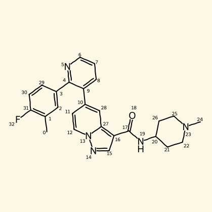 Cc1cc(-c2ncccc2-c2ccn3ncc(C(=O)NC4CCN(C)CC4)c3c2)ccc1F